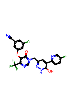 N#Cc1cc(Cl)cc(Oc2c(C(F)(F)F)ncn(CC3=NNC(O)C(c4ccc(F)cn4)=C3)c2=O)c1